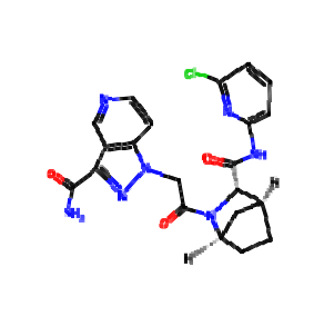 NC(=O)c1nn(CC(=O)N2[C@@H]3CC[C@@H](C3)[C@H]2C(=O)Nc2cccc(Cl)n2)c2ccncc12